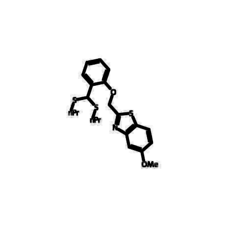 CCCSC(SCCC)c1ccccc1OCc1nc2cc(OC)ccc2s1